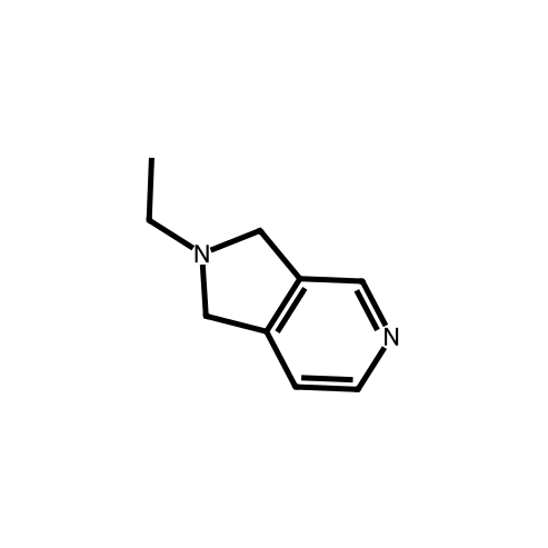 CCN1Cc2ccncc2C1